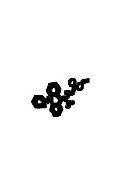 CCOC(=O)CSC(SC)=C1c2ccccc2N(c2ccccc2)c2ccccc21